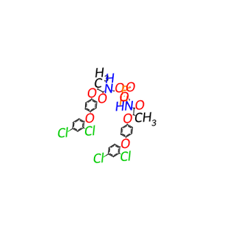 CC(Oc1ccc(Oc2ccc(Cl)cc2Cl)cc1)C(=O)NCO[PH](=O)OCNC(=O)C(C)Oc1ccc(Oc2ccc(Cl)cc2Cl)cc1